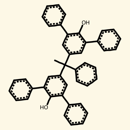 CC(c1ccccc1)(c1cc(-c2ccccc2)c(O)c(-c2ccccc2)c1)c1cc(-c2ccccc2)c(O)c(-c2ccccc2)c1